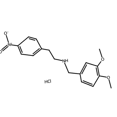 COc1ccc(CNCCc2ccc([N+](=O)[O-])cc2)cc1OC.Cl